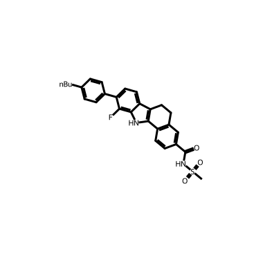 CCCCc1ccc(-c2ccc3c4c([nH]c3c2F)-c2ccc(C(=O)NS(C)(=O)=O)cc2CC4)cc1